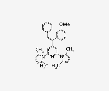 COc1cccc(C(=Cc2ccccc2)c2cc(-n3c(C)ccc3C)nc(-n3c(C)ccc3C)c2)c1